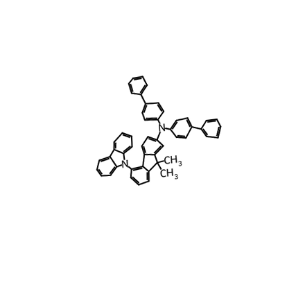 CC1(C)c2cc(N(c3ccc(-c4ccccc4)cc3)c3ccc(-c4ccccc4)cc3)ccc2-c2c(-n3c4ccccc4c4ccccc43)cccc21